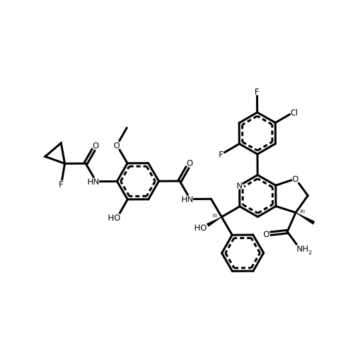 COc1cc(C(=O)NC[C@@](O)(c2ccccc2)c2cc3c(c(-c4cc(Cl)c(F)cc4F)n2)OC[C@]3(C)C(N)=O)cc(O)c1NC(=O)C1(F)CC1